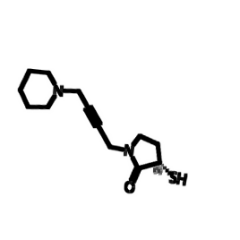 O=C1[C@@H](S)CCN1CC#CCN1CCCCC1